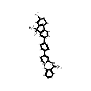 C=C1NC2C=C(c3ccc(-c4ccc5c(c4)C(C)(C)C4=C5CCC(C#N)=C4)cc3)C=CN2Sc2ccccc21